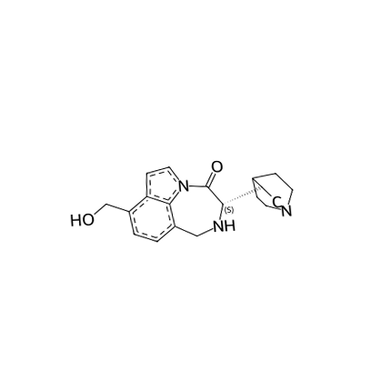 O=C1[C@H](C2CN3CCC2CC3)NCc2ccc(CO)c3ccn1c23